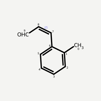 Cc1ccccc1/C=C\C=O